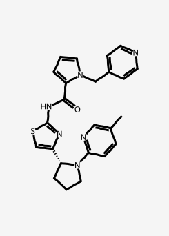 Cc1ccc(N2CCC[C@@H]2c2csc(NC(=O)c3cccn3Cc3ccncc3)n2)nc1